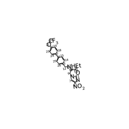 CC[C@@H]1Oc2nc([N+](=O)[O-])cn2C[C@@H]1NCc1ccc(-c2ccc(OC(F)(F)F)cc2)cc1